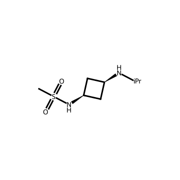 CC(C)N[C@H]1C[C@@H](NS(C)(=O)=O)C1